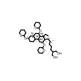 C[C@H](CCCC(CO)CO)[C@H]1CC[C@H]2[C@@H]3[C@H](OC4CCCCO4)C[C@@H]4C[C@H](OC5CCCCO5)CC[C@]4(C)[C@H]3C[C@H](OC3CCCCO3)[C@]12C